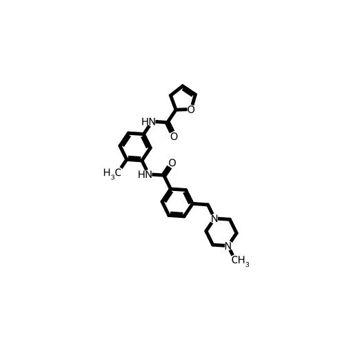 Cc1ccc(NC(=O)C2CC=CO2)cc1NC(=O)c1cccc(CN2CCN(C)CC2)c1